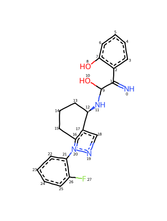 N=C(c1ccccc1O)C(O)N[C@@H]1CCCc2c1cnn2-c1ccccc1F